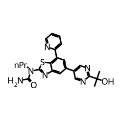 CCCN(C(N)=O)c1nc2cc(-c3cnc(C(C)(C)O)nc3)cc(-c3ccccn3)c2s1